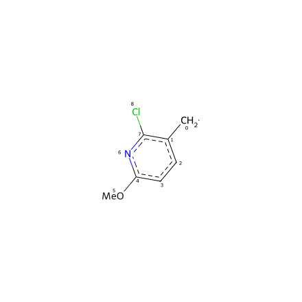 [CH2]c1ccc(OC)nc1Cl